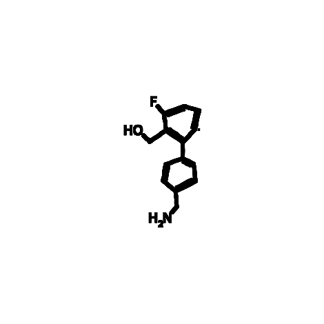 NCc1ccc(-c2[c]ccc(F)c2CO)cc1